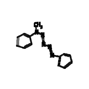 CN(N=NN=Nc1ccccc1)c1ccccc1